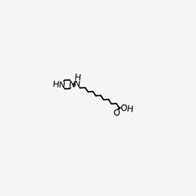 O=C(O)CCCCCCCCCCNN1CCNCC1